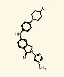 Cn1cnc(N2Cc3cc(Nc4ccc(N5CCC(C(F)(F)F)CC5)cc4)ccc3C2=O)c1